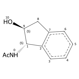 CC(=O)N[C@H]1c2ccccc2C[C@@H]1O